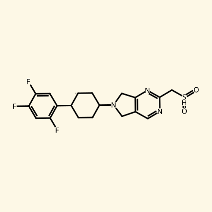 O=[SH](=O)Cc1ncc2c(n1)CN(C1C[CH]C(c3cc(F)c(F)cc3F)CC1)C2